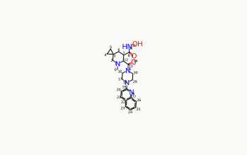 CN1CC2(CC2)CC(C(=O)NO)C1C(=O)N1CCN(c2ccc3ccccc3n2)CC1